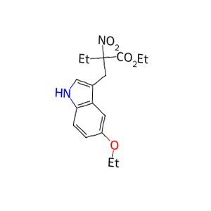 CCOC(=O)C(CC)(Cc1c[nH]c2ccc(OCC)cc12)[N+](=O)[O-]